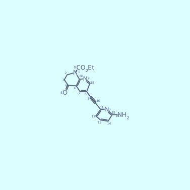 CCOC(=O)N1CCC(=O)c2cc(C#Cc3cccc(N)n3)cnc21